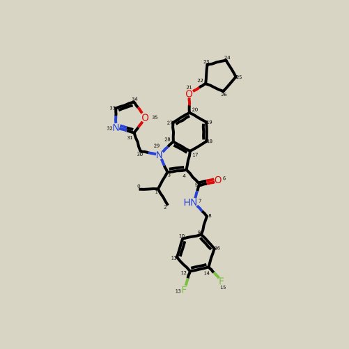 CC(C)c1c(C(=O)NCc2ccc(F)c(F)c2)c2ccc(OC3CCCC3)cc2n1Cc1ncco1